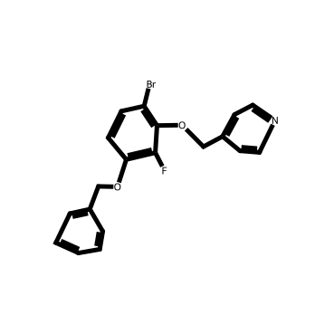 Fc1c(OCc2ccccc2)ccc(Br)c1OCc1ccncc1